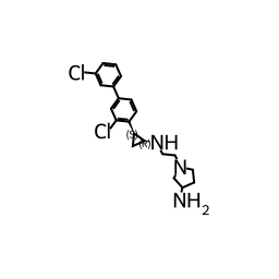 NC1CCN(CCN[C@@H]2C[C@H]2c2ccc(-c3cccc(Cl)c3)cc2Cl)C1